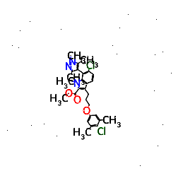 COC(=O)c1c(CCCOc2cc(C)c(Cl)c(C)c2)c2ccc(Cl)c(-c3c(C)nn(C)c3C)c2n1C